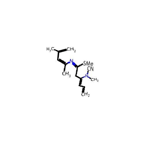 C=C/C=C(/C/C(=N\C(C)=C/C(=C)C)SC)N(C)C#N